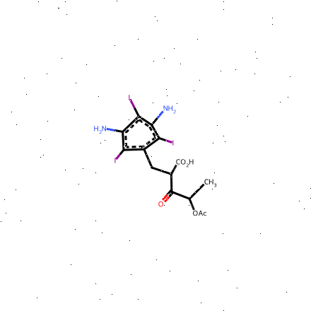 CC(=O)OC(C)C(=O)C(Cc1c(I)c(N)c(I)c(N)c1I)C(=O)O